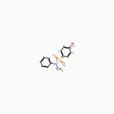 CN(c1ccccc1)S(=O)(=O)c1ccc(Br)cc1